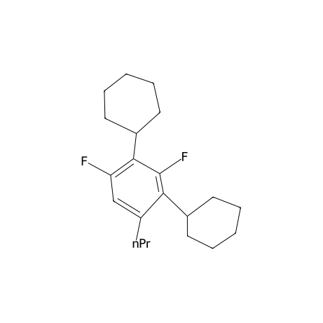 CCCc1cc(F)c(C2CCCCC2)c(F)c1C1CCCCC1